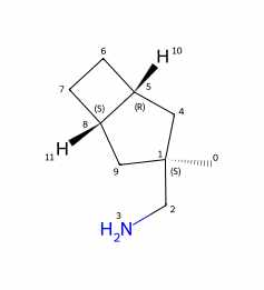 C[C@@]1(CN)C[C@H]2CC[C@H]2C1